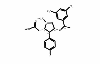 COC(=O)C[C@H]1[C@H](c2ccc(F)cc2)[C@@H](O[C@H](C)c2cc(C(F)(F)F)cc(C(F)(F)F)c2)CN1C(=O)O